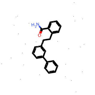 NC(=O)c1ccccc1C[CH]c1cccc(-c2ccccc2)c1